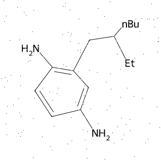 CCCCC(CC)Cc1cc(N)ccc1N